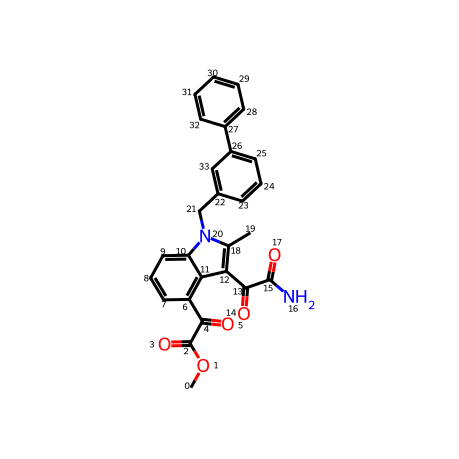 COC(=O)C(=O)c1cccc2c1c(C(=O)C(N)=O)c(C)n2Cc1cccc(-c2ccccc2)c1